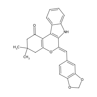 CC1(C)CC(=O)C2=C(C1)OC(=Cc1ccc3c(c1)OCO3)c1[nH]c3ccccc3c12